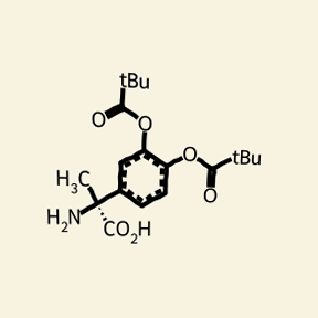 CC(C)(C)C(=O)Oc1ccc([C@](C)(N)C(=O)O)cc1OC(=O)C(C)(C)C